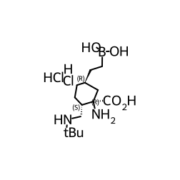 CC(C)(C)NC[C@@H]1CC[C@@H](CCB(O)O)C[C@]1(N)C(=O)O.Cl.Cl